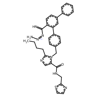 CCCCc1ncc(C(=O)NCc2nccs2)n1Cc1ccc(-c2cc(-c3ccccc3)ccc2C(=N)/N=N\N)cc1